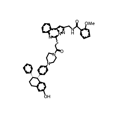 COc1ccccc1C(=O)NCc1cc2c3ccccc3nc(SCC(=O)N3CCN(c4ccc([C@@H]5c6ccc(O)cc6CC[C@@H]5c5ccccc5)cc4)CC3)n2n1